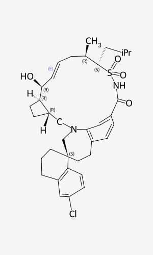 CC(C)C[C@H]1[C@H](C)C/C=C/[C@H](O)[C@@H]2CC[C@H]2CN2C[C@@]3(CCCc4cc(Cl)ccc43)CCc3ccc(cc32)C(=O)NS1(=O)=O